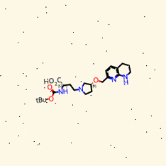 CC(C)(C)OC(=O)N[C@@H](CCN1CC[C@@H](OCc2ccc3c(n2)NCCC3)C1)C(=O)O